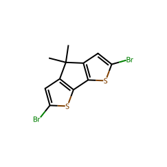 CC1(C)c2cc(Br)sc2-c2sc(Br)cc21